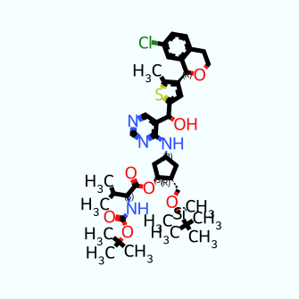 Cc1sc(C(O)c2cncnc2N[C@@H]2C[C@H](CO[Si](C)(C)C(C)(C)C)[C@@H](OC(=O)[C@@H](NC(=O)OC(C)(C)C)C(C)C)C2)cc1[C@@H]1OCCc2ccc(Cl)cc21